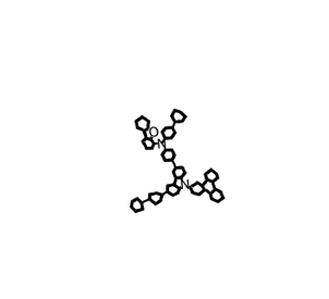 c1ccc(-c2ccc(-c3ccc4c(c3)c3cc(-c5ccc(N(c6ccc(-c7ccccc7)cc6)c6cccc7c6oc6ccccc67)cc5)ccc3n4-c3ccc4c5ccccc5c5ccccc5c4c3)cc2)cc1